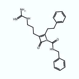 N=C(N)NCCCC1=C(CCc2ccccc2)N(C(=O)NCc2ccccc2)C1=O